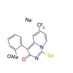 COc1ccccc1-c1c(=O)nc(S)n2ccc(C(F)(F)F)cc12.[Na]